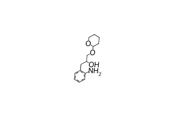 Nc1ccccc1CC(O)COC1CCCCO1